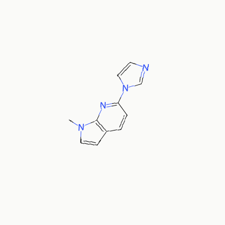 Cn1ccc2ccc(-n3ccnc3)nc21